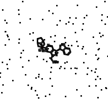 CSCn1nc(-c2coc3ccccc23)c2cnc(C(=O)N3C4CCC3CC(O)C4)cc21